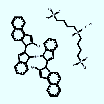 CC1=Cc2c(ccc3ccccc23)C1C1=Cc2ccccc2[CH]1[Zr+2][CH]1C(C2C(C)=Cc3c2ccc2ccccc32)=Cc2ccccc21.O[Si](O)(CCCC[Si](Cl)(Cl)Cl)CCCC[Si](Cl)(Cl)Cl.[Cl-].[Cl-]